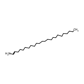 CCCCCCCCCCCCCCCCCCCCCCC=CN